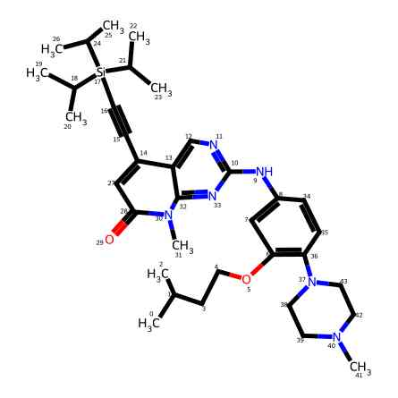 CC(C)CCOc1cc(Nc2ncc3c(C#C[Si](C(C)C)(C(C)C)C(C)C)cc(=O)n(C)c3n2)ccc1N1CCN(C)CC1